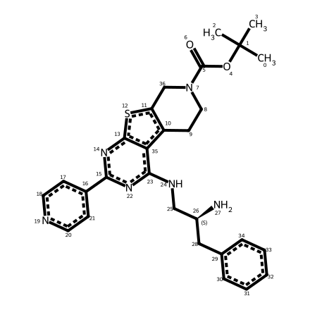 CC(C)(C)OC(=O)N1CCc2c(sc3nc(-c4ccncc4)nc(NC[C@@H](N)Cc4ccccc4)c23)C1